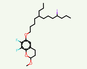 CCCC(I)CCCC(CCC)CCCCOc1cc2c(c(F)c1F)OC(OC)CC2